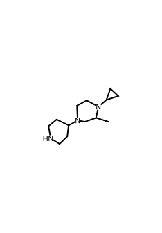 CC1CN(C2CCNCC2)CCN1C1CC1